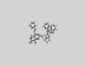 CC(C)(C)[Si](O[C@H]1CN2CCC[C@@]2(COc2nc(SCc3ccccc3)c3cnc(Cl)c(F)c3n2)C1)(c1ccccc1)c1ccccc1